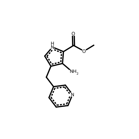 COC(=O)c1[nH]cc(Cc2cccnc2)c1N